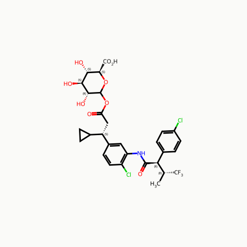 C[C@H]([C@@H](C(=O)Nc1cc([C@@H](CC(=O)OC2O[C@H](C(=O)O)[C@@H](O)[C@H](O)[C@H]2O)C2CC2)ccc1Cl)c1ccc(Cl)cc1)C(F)(F)F